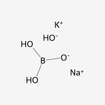 [K+].[Na+].[O-]B(O)O.[OH-]